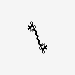 CC1(C)N=C(CCCCCCC2=NC(C)(C)C(=O)O2)OC1=O